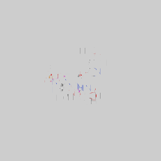 CC[C@@H]1C[C@]1(NC(=O)C1C[C@@H](Oc2ccnc3c(C)c(OC)ccc23)CN1C(=O)C(NC(=O)OC1CCCC1)C(C)(C)C)C(=O)NS(=O)(=O)OC1CC1